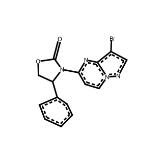 O=C1OCC(c2ccccc2)N1c1ccn2ncc(Br)c2n1